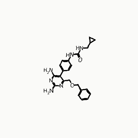 Nc1nc(N)c(-c2ccc(NC(=O)NCC3CC3)cc2)c(COCc2ccccc2)n1